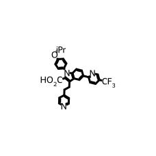 CC(C)Oc1ccc(-n2c(C(=O)O)c(CCc3ccncc3)c3cc(-c4ccc(C(F)(F)F)cn4)ccc32)cc1